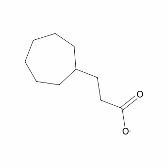 [O]C(=O)CCC1CCCCCC1